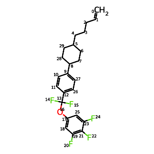 C=CCCCC1CCC(c2ccc(C(F)(F)Oc3cc(F)c(F)c(F)c3)cc2)CC1